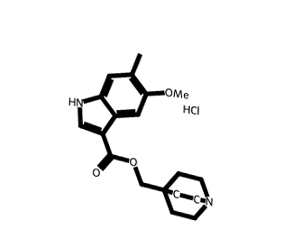 COc1cc2c(C(=O)OCC34CCN(CC3)CC4)c[nH]c2cc1C.Cl